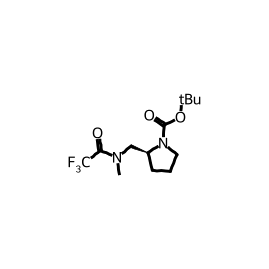 CN(C[C@@H]1CCCN1C(=O)OC(C)(C)C)C(=O)C(F)(F)F